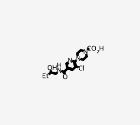 CCC(O)CNC(=O)c1cnc(N2CCN(C(=O)O)CC2)c(Cl)c1